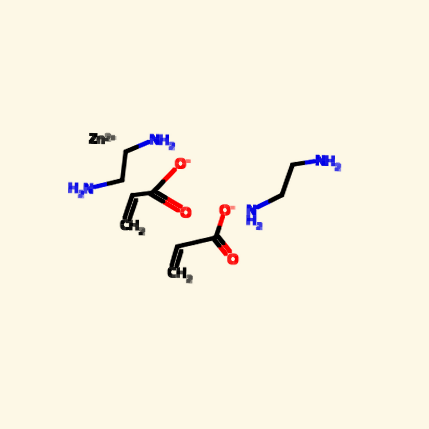 C=CC(=O)[O-].C=CC(=O)[O-].NCCN.NCCN.[Zn+2]